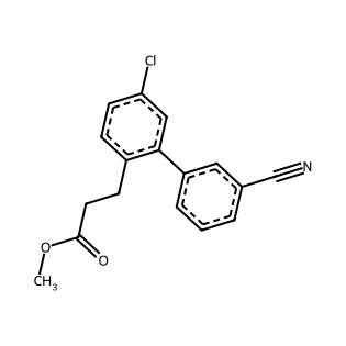 COC(=O)CCc1ccc(Cl)cc1-c1cccc(C#N)c1